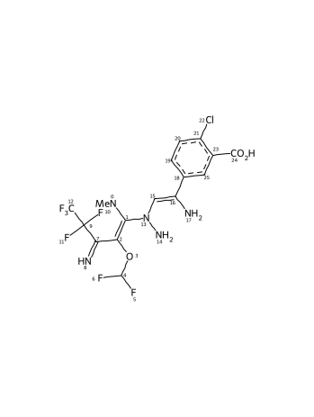 CN/C(=C(/OC(F)F)C(=N)C(F)(F)C(F)(F)F)N(N)/C=C(\N)c1ccc(Cl)c(C(=O)O)c1